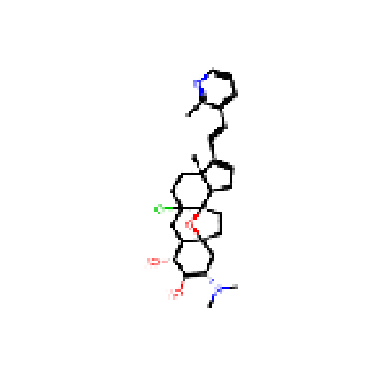 Cc1ncccc1/C=C/C1=CCC2[C@@]34CC[C@]5(C[C@H](N(C)C)[C@@H](O)[C@H](O)C5CC3(Cl)CC[C@]12C)O4